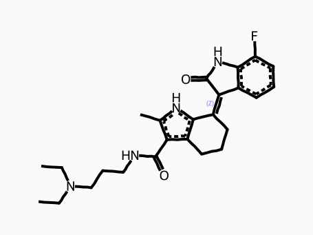 CCN(CC)CCCNC(=O)c1c(C)[nH]c2c1CCC/C2=C1/C(=O)Nc2c(F)cccc21